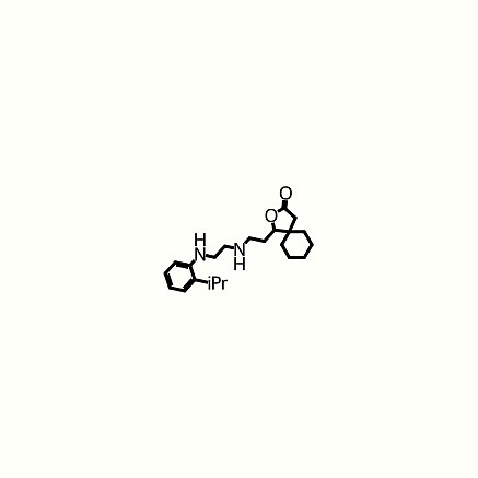 CC(C)c1ccccc1NCCNCCC1OC(=O)CC12CCCCC2